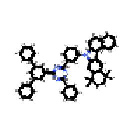 CC1(C)CCC(C)(C)c2cc3c(cc21)c1c2ccccc2ccc1n3-c1cccc(-c2nc(-c3ccccc3)nc(-c3cc(-c4ccccc4)cc(-c4ccccc4)c3)n2)c1